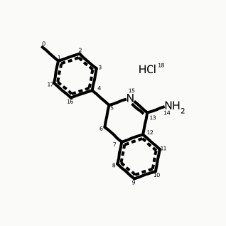 Cc1ccc(C2Cc3ccccc3C(N)=N2)cc1.Cl